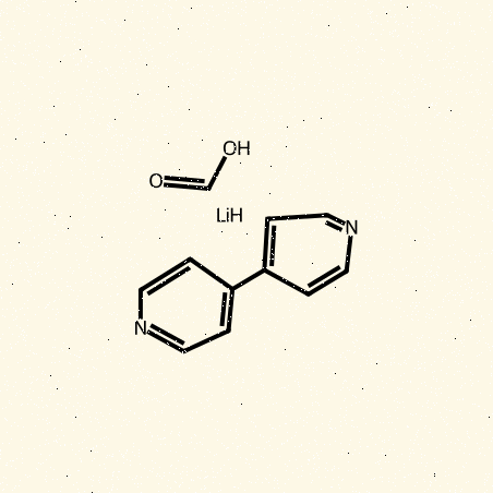 O=CO.[LiH].c1cc(-c2ccncc2)ccn1